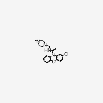 C=C(NCN1CCN(C)CC1)N1c2ccccc2Oc2ccc(Cl)cc21